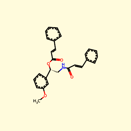 COc1cccc([C@@H](CNC(=O)C=Cc2ccccc2)OC(=O)C=Cc2ccccc2)c1